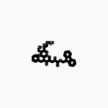 CC(C)CC(NC(=O)C(Cc1ccccc1)NC(=O)CNC(=O)OCC1c2ccccc2-c2ccccc21)C(=O)NCC(=O)O